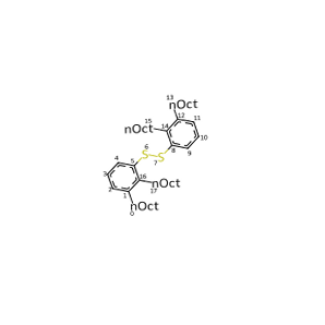 CCCCCCCCc1cccc(SSc2cccc(CCCCCCCC)c2CCCCCCCC)c1CCCCCCCC